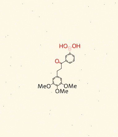 COc1cc(CCC(=O)c2cccc(B(O)O)c2)cc(OC)c1OC